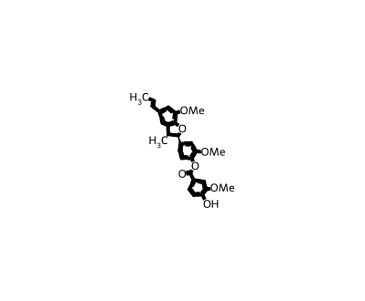 C/C=C/c1cc(OC)c2c(c1)[C@@H](C)[C@H](c1ccc(OC(=O)c3ccc(O)c(OC)c3)c(OC)c1)O2